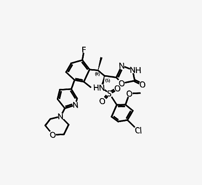 COc1cc(Cl)ccc1S(=O)(=O)N[C@H](c1n[nH]c(=O)o1)[C@H](C)c1c(F)ccc(-c2ccc(N3CCOCC3)nc2)c1C